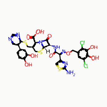 Nc1nc(C(=NOCc2cc(Cl)c(O)c(O)c2Cl)C(=O)N[C@@H]2C(=O)N3C(C(=O)O)=C(CSc4ncncc4-c4ccc(O)c(O)c4)CS[C@H]23)cs1